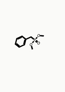 COP(=O)(Cc1ccccc1)OC